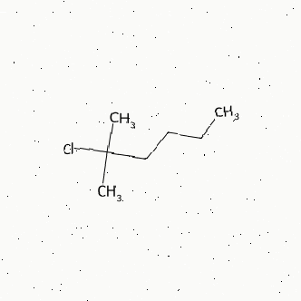 CCCCC(C)(C)Cl